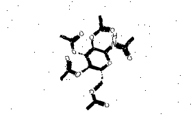 CC(=O)NC1O[C@H](COC(C)=O)[C@@H](OC(C)=O)[C@H](OC(C)=O)[C@H]1OC(C)=O